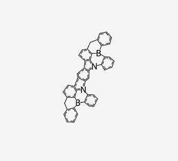 c1ccc2c(c1)Cc1ccc3c4cc5c6ccc7c8c6n(c5cc4n4c3c1B2c1ccccc1-4)-c1ccccc1B8c1ccccc1C7